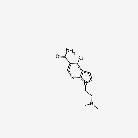 CN(C)CCn1ccc2c(Cl)c(C(N)=O)cnc21